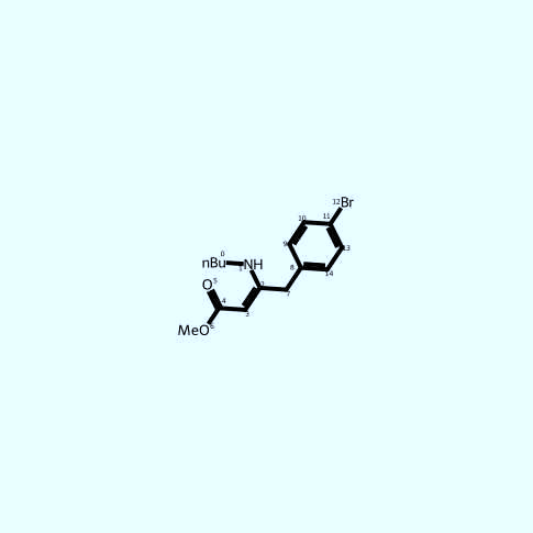 CCCCN/C(=C\C(=O)OC)Cc1ccc(Br)cc1